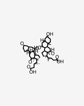 C[C@H](CCC(=O)O)[C@H]1CCC2C3C(C[C@H](O)[C@@]21C)[C@@]1(C)CC[C@@H](O)C[C@H]1C[C@H]3O.C[C@H](CCC(=O)O)[C@H]1CC[C@H]2[C@@H]3C(=O)CC4CC(=O)CC[C@]4(C)[C@H]3CC(=O)[C@]12C